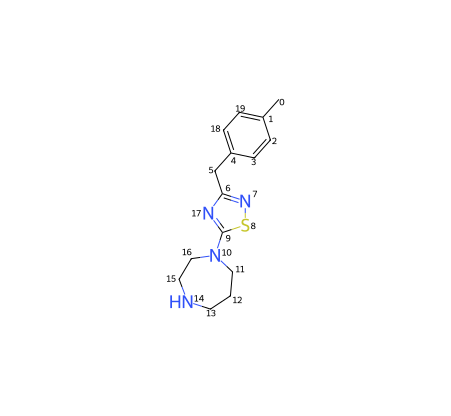 Cc1ccc(Cc2nsc(N3CCCNCC3)n2)cc1